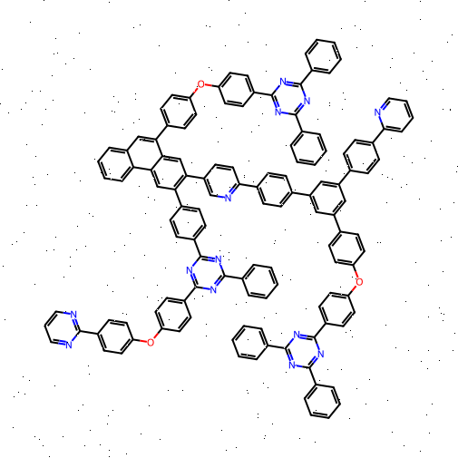 c1ccc(-c2nc(-c3ccccc3)nc(-c3ccc(Oc4ccc(-c5cc(-c6ccc(-c7ccccn7)cc6)cc(-c6ccc(-c7ccc(-c8cc9c(-c%10ccc(Oc%11ccc(-c%12nc(-c%13ccccc%13)nc(-c%13ccccc%13)n%12)cc%11)cc%10)cc%10ccccc%10c9cc8-c8ccc(-c9nc(-c%10ccccc%10)nc(-c%10ccc(Oc%11ccc(-c%12ncccn%12)cc%11)cc%10)n9)cc8)cn7)cc6)c5)cc4)cc3)n2)cc1